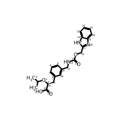 CC(C)O[C@@H](Cc1cccc(CNC(=O)OCc2nc3ccccc3[nH]2)c1)C(=O)O